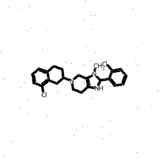 CN1C2=C(CCN(C3CCc4cccc(Cl)c4C3)C2)NC1c1ccccc1Cl